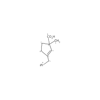 CC(C)CC1=CC(C)(C(=O)O)CC1